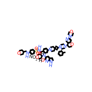 Cc1ccccc1[C@@H]1CN([C@H]2CCOc3cc(N4CCOCC4)ncc32)CCN1C1CC2(CCN(c3ccc(C(=O)NS(=O)(=O)c4ccc(NCC5CCOCC5)c([N+](=O)[O-])c4)c(N4c5cc6cc[nH]c6nc5O[C@H]5COCC[C@@H]54)c3)CC2)C1